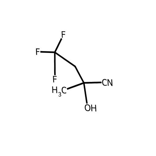 CC(O)(C#N)CC(F)(F)F